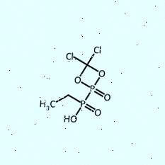 CCP(=O)(O)P1(=O)OC(Cl)(Cl)O1